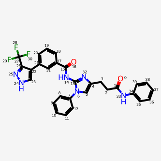 O=C(CCc1cn(-c2ccccc2)c(NC(=O)c2cccc(-c3c[nH]nc3C(F)(F)F)c2)n1)Nc1ccccc1